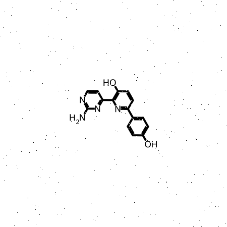 Nc1nccc(-c2nc(-c3ccc(O)cc3)ccc2O)n1